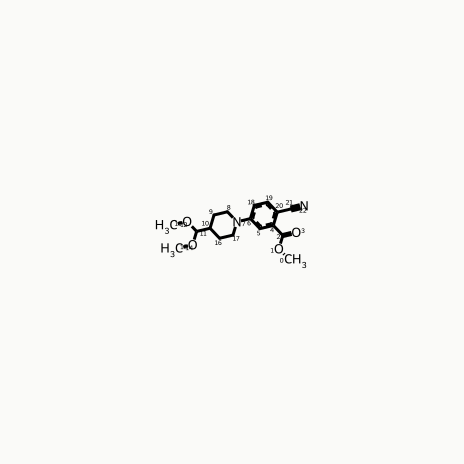 COC(=O)c1cc(N2CCC(C(OC)OC)CC2)ccc1C#N